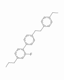 CCCc1ccc(-c2ccc(CCc3ccc(CC)cc3)cc2)c(F)c1